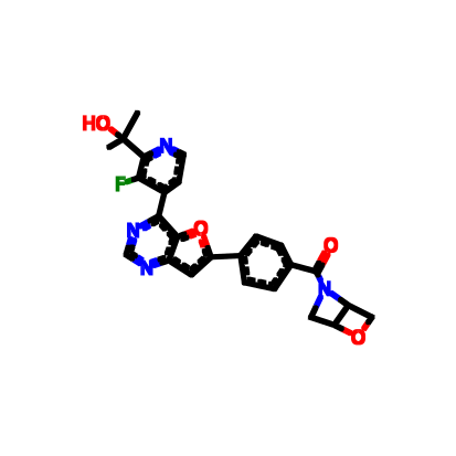 CC(C)(O)c1nccc(-c2ncnc3cc(-c4ccc(C(=O)N5CC6OCC65)cc4)oc23)c1F